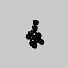 C1=C(/C2CCc3ccc4ccccc4c3-c3cc4c5ccccc5n5c6ccccc6c(c32)c45)c2c(sc3ccccc23)/N=C(/c2ccc(-c3ccccc3)cc2)CC/1